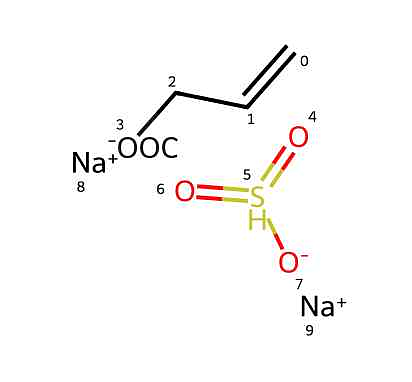 C=CCC(=O)[O-].O=[SH](=O)[O-].[Na+].[Na+]